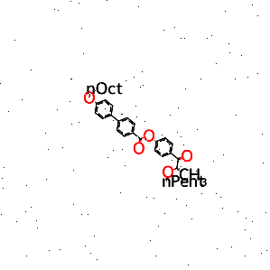 CCCCCCCCOc1ccc(-c2ccc(C(=O)Oc3ccc(C(=O)C(C)OCCCCC)cc3)cc2)cc1